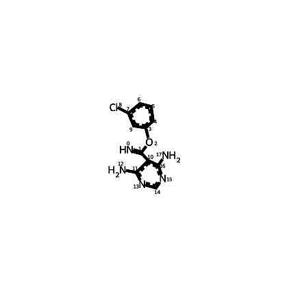 N=C(Oc1cccc(Cl)c1)c1c(N)ncnc1N